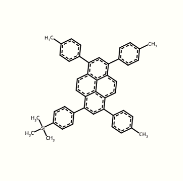 Cc1ccc(-c2cc(-c3ccc(C)cc3)c3ccc4c(-c5ccc([Si](C)(C)C)cc5)cc(-c5ccc(C)cc5)c5ccc2c3c54)cc1